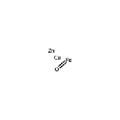 [Cu].[O]=[Fe].[Zn]